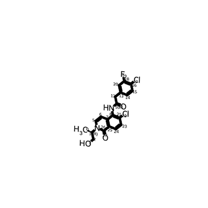 C[C@H](CO)n1ccc2c(NC(=O)Cc3ccc(Cl)c(F)c3)c(Cl)ccc2c1=O